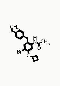 CCc1ccc(Cc2cc(Br)c(OC3CCC3)cc2NC(C)=O)cc1